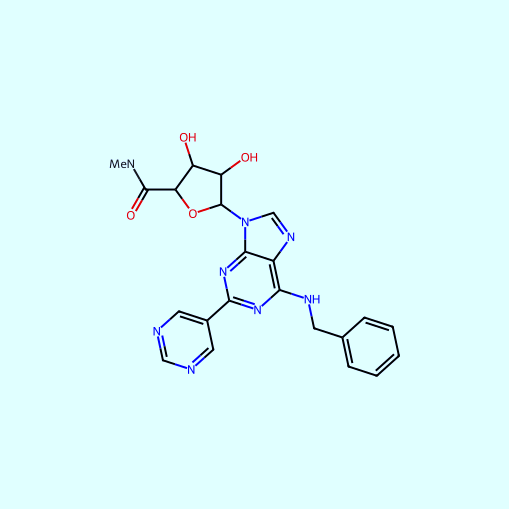 CNC(=O)C1OC(n2cnc3c(NCc4ccccc4)nc(-c4cncnc4)nc32)C(O)C1O